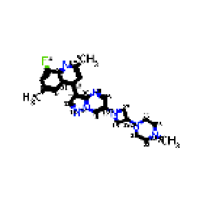 Cc1cc(F)c2nc(C)cc(-c3cnn4cc(N5CC(N6CCN(C)CC6)C5)cnc34)c2c1